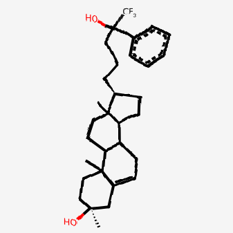 CC12CC[C@](C)(O)CC1=CCC1C2CCC2(C)C1CC[C@@H]2CCCC(O)(c1ccccc1)C(F)(F)F